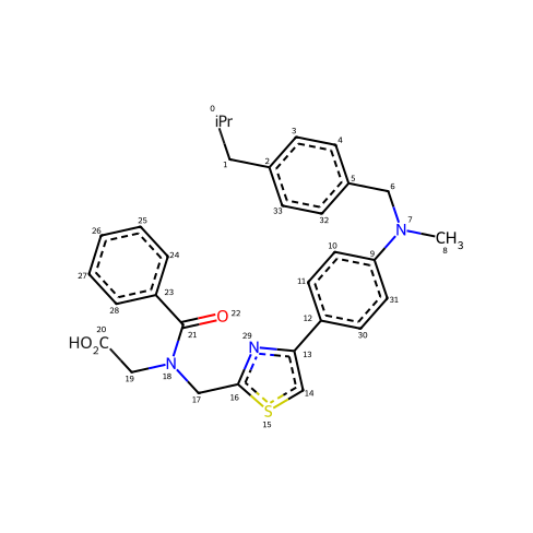 CC(C)Cc1ccc(CN(C)c2ccc(-c3csc(CN(CC(=O)O)C(=O)c4ccccc4)n3)cc2)cc1